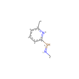 C/N=[SH]/c1cccc(C)n1